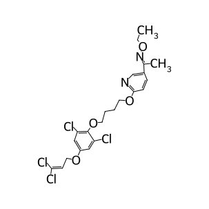 CCON=C(C)c1ccc(OCCCCOc2c(Cl)cc(OCC=C(Cl)Cl)cc2Cl)nc1